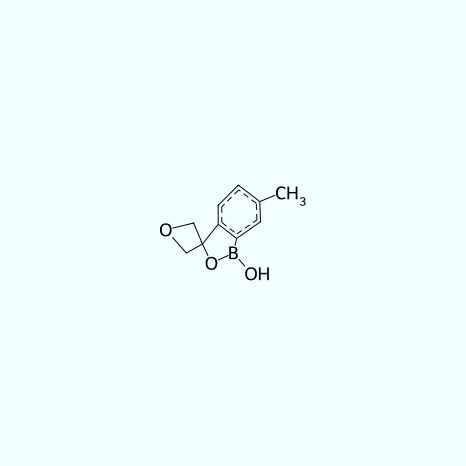 Cc1ccc2c(c1)B(O)OC21COC1